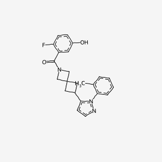 Cc1ccccc1-n1nccc1C1CC2(C1)CN(C(=O)c1cc(O)ccc1F)C2